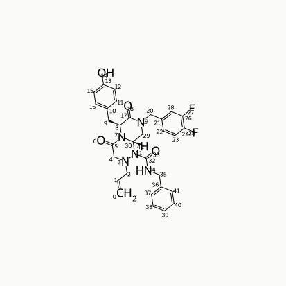 C=CCN1CC(=O)N2[C@@H](Cc3ccc(O)cc3)C(=O)N(Cc3ccc(F)c(F)c3)C[C@@H]2N1C(=O)NCc1ccccc1